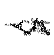 CC[C@H](C)[C@@H]([C@@H](CC(=O)N1CCC[C@H]1[C@H](OC)[C@@H](C)C(=O)N[C@H](C)[C@@H](O)c1ccccc1)OC)N(C)C(=O)CNC(=O)C(C(C)C)N(C)C(=O)OCc1ccc(NC(=O)CNC(=O)C(NC(=O)CSCCC(=O)O[C@@H]2C[C@H](OC(=O)CCSC)C[C@H](OC(=O)CCSC)C2)C(C)C)cc1